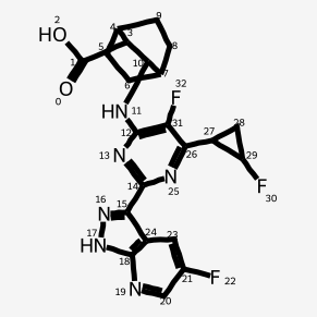 O=C(O)C1C2CCC(CC2)C1Nc1nc(-c2n[nH]c3ncc(F)cc23)nc(C2CC2F)c1F